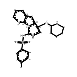 Cc1ccc(S(=O)(=O)Nc2ncc(OC3CCCCO3)c3cc4cccnc4n23)cc1